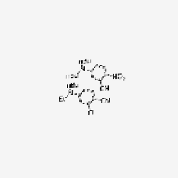 CCCCN(CC)c1ccc(C#N)c(Cl)c1.CCCCN(CCCC)c1ccc([N+](=O)[O-])c(C#N)c1